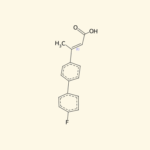 C/C(=C\C(=O)O)c1ccc(-c2ccc(F)cc2)cc1